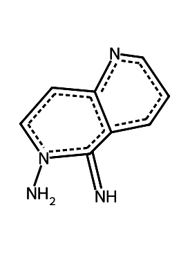 N=c1c2cccnc2ccn1N